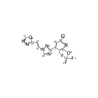 FC(F)(F)Oc1cc(-c2ncn(C=Cc3nnco3)n2)cc(Cl)n1